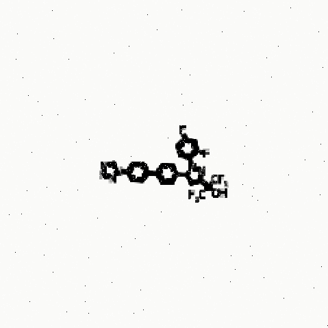 OC(C1=NN(c2ccc(F)cc2F)C(c2ccc(-c3ccc(-n4cnnn4)cc3)cc2)C1)(C(F)(F)F)C(F)(F)F